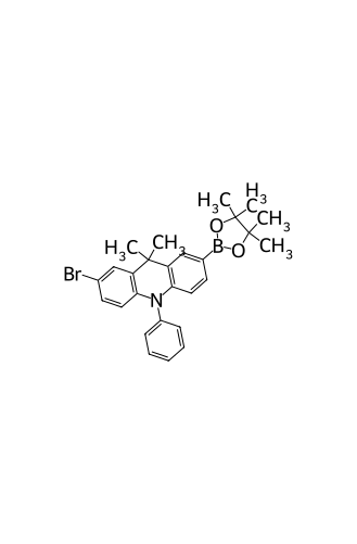 CC1(C)c2cc(Br)ccc2N(c2ccccc2)c2ccc(B3OC(C)(C)C(C)(C)O3)cc21